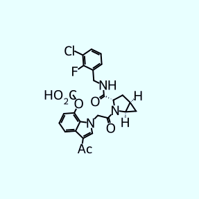 CC(=O)c1cn(CC(=O)N2[C@@H]3C[C@@H]3C[C@H]2C(=O)NCc2cccc(Cl)c2F)c2c(OC(=O)O)cccc12